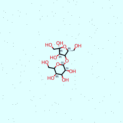 OCC1O[C@@H](OC2[C@@H](O)[C@@](O)(CO)O[C@@H]2CO)[C@@H](O)C(O)[C@H]1O